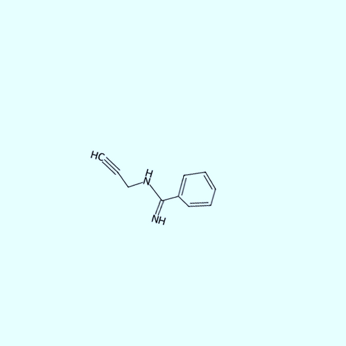 C#CCNC(=N)c1ccccc1